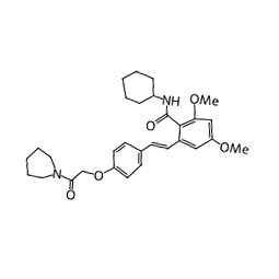 COc1cc(C=Cc2ccc(OCC(=O)N3CCCCC3)cc2)c(C(=O)NC2CCCCC2)c(OC)c1